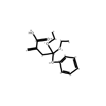 C=C(CC(OCC)(OCC)Oc1ccccc1)C(=O)O